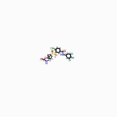 C[C@H]1CC2CC(S(=O)(=O)c3cc(C(=O)Nc4cc(F)c(F)c(F)c4)ccc3Cl)CC1[C@]21CNC(=O)O1